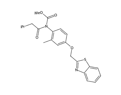 COC(=O)N(C(=O)CC(C)C)c1ccc(OCc2nc3ccccc3s2)cc1C